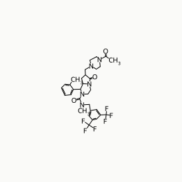 CC(=O)N1CCN(CC2CC3C(c4ccccc4C)N(C(=O)N(C)Cc4cc(C(F)(F)F)cc(C(F)(F)F)c4)CCN3C2=O)CC1